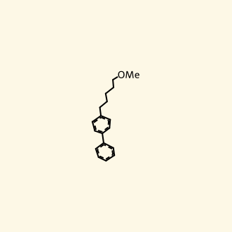 COCCCCCc1ccc(-c2ccccc2)cc1